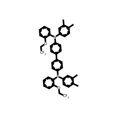 Cc1ccc(N(c2ccc(-c3ccc(N(c4ccc(C)c(C)c4)c4ccccc4OCC(F)(F)F)cc3)cc2)c2ccccc2OCC(F)(F)F)cc1C